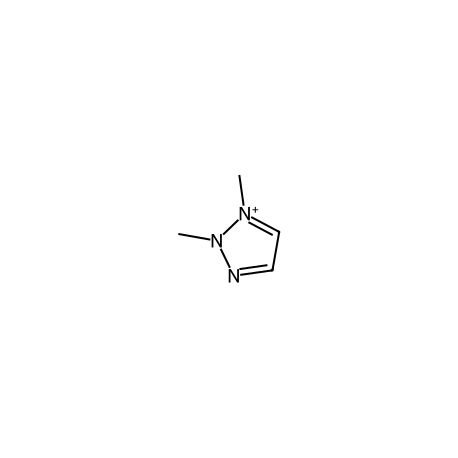 Cn1ncc[n+]1C